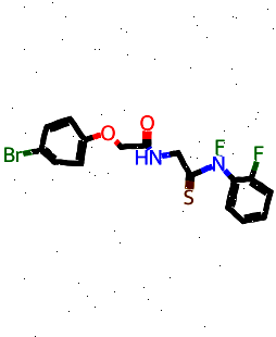 O=C(COc1ccc(Br)cc1)NCC(=S)N(F)c1ccccc1F